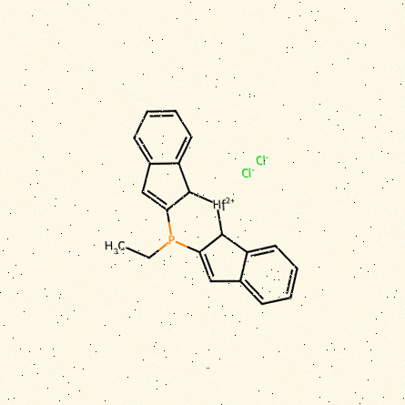 CCP1C2=Cc3ccccc3[CH]2[Hf+2][CH]2C1=Cc1ccccc12.[Cl-].[Cl-]